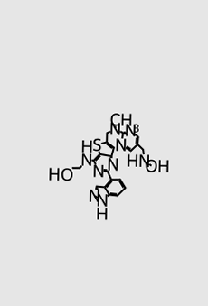 CN(Cc1cc2nc(-c3cccc4[nH]ncc34)nc(NCCO)c2s1)c1ncc(CNO)cn1